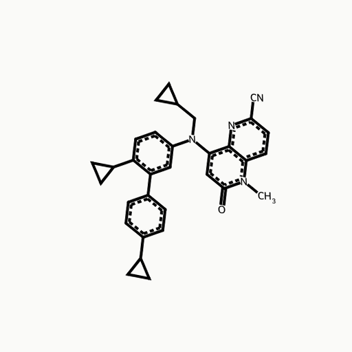 Cn1c(=O)cc(N(CC2CC2)c2ccc(C3CC3)c(-c3ccc(C4CC4)cc3)c2)c2nc(C#N)ccc21